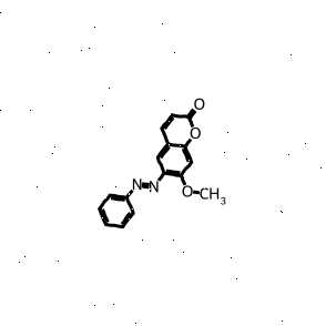 COc1cc2oc(=O)ccc2cc1N=Nc1ccccc1